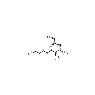 C=CC(=O)N[C@@H](C)C(C)CCCCCC